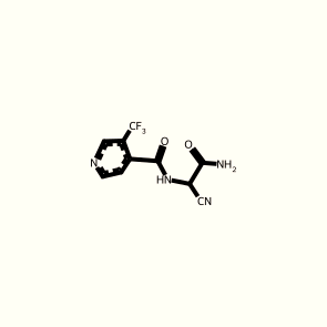 N#CC(NC(=O)c1ccncc1C(F)(F)F)C(N)=O